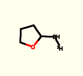 [2H]BC1CCCO1